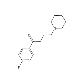 O=C(CCCN1CC[CH]CC1)c1ccc(F)cc1